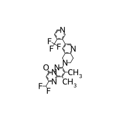 Cc1c(N2CCc3ncc(-c4cnccc4C(F)(F)F)cc3C2)nn2c(=O)cc(C(F)F)nc2c1C